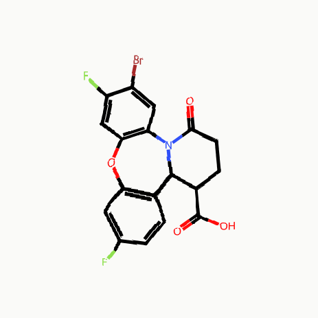 O=C(O)C1CCC(=O)N2c3cc(Br)c(F)cc3Oc3cc(F)ccc3C12